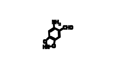 Nc1cc2c(cc1C=O)ONO2